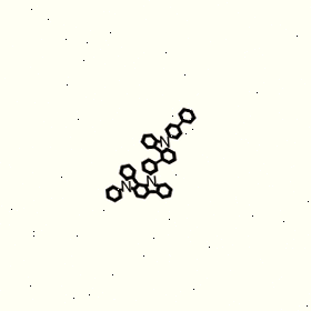 c1ccc(-c2ccc(-n3c4ccccc4c4c(-c5cccc(-n6c7ccccc7c7ccc8c(c9ccccc9n8-c8ccccc8)c76)c5)cccc43)cc2)cc1